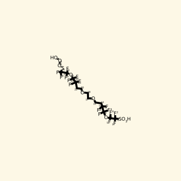 O=S(=O)(O)C(F)(F)C(F)(F)OC(F)(F)C(F)(F)CCOCCOCCC(F)(F)C(F)(F)OC(F)(F)C(F)(F)SOOO